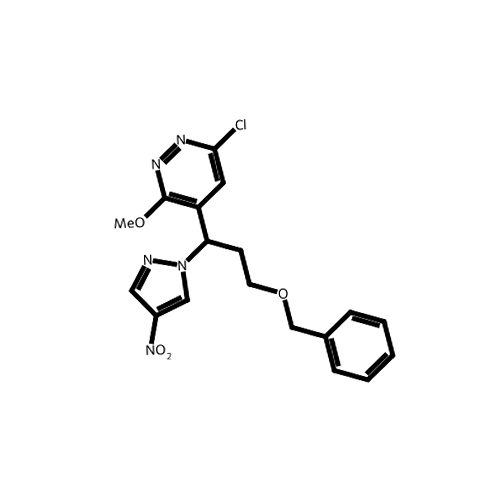 COc1nnc(Cl)cc1C(CCOCc1ccccc1)n1cc([N+](=O)[O-])cn1